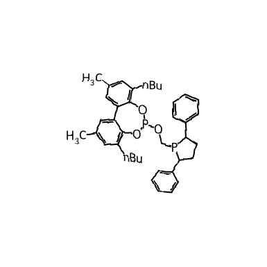 CCCCc1cc(C)cc2c1op(OCP1C(c3ccccc3)CCC1c1ccccc1)oc1c(CCCC)cc(C)cc12